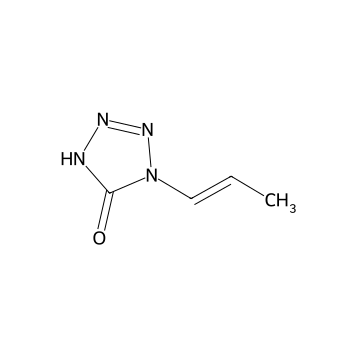 CC=Cn1nn[nH]c1=O